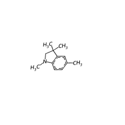 Cc1ccc2c(c1)C(C)(C)CN2C